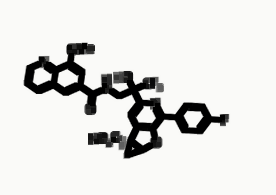 COc1cc(C(=O)NCC(O)(c2cc3c(c(-c4ccc(F)cc4)n2)OC2C[C@@]32C(=O)O)C(F)(F)F)cc2cccnc12